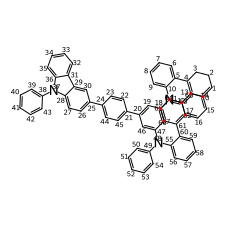 C1=CCCC(c2ccccc2N(c2ccccc2)c2cc(-c3ccc(-c4ccc5c(c4)c4ccccc4n5-c4ccccc4)cc3)cc(N(c3ccccc3)c3ccccc3-c3ccccc3)c2)=C1